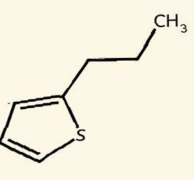 CCCc1[c]ccs1